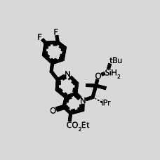 CCOC(=O)c1cn([C@@H](C(C)C)C(C)(C)O[SiH2]C(C)(C)C)c2cnc(Cc3ccc(F)c(F)c3)cc2c1=O